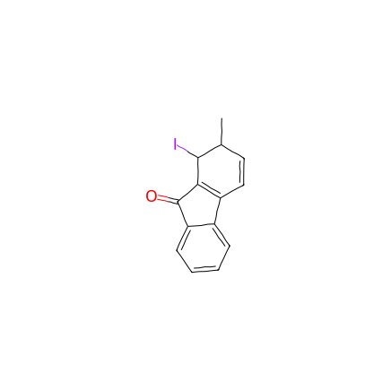 CC1C=CC2=C(C(=O)c3ccccc32)C1I